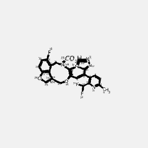 Cc1ccc(-c2cc3c(n4cnnc24)N(C(=O)O)Cc2c(F)ccc4c2[C@@H](CO4)CO3)c(C(F)F)n1